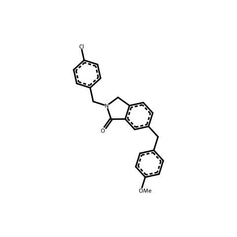 COc1ccc(Cc2ccc3c(c2)C(=O)N(Cc2ccc(Cl)cc2)C3)cc1